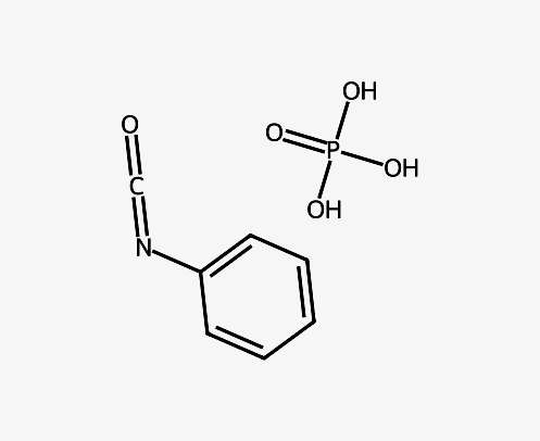 O=C=Nc1ccccc1.O=P(O)(O)O